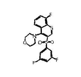 O=S(=O)(c1cc(F)cc(F)c1)c1cnc2c(F)cccc2c1N1CCOCC1